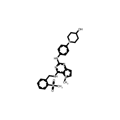 Cn1ccc2nc(Nc3ccc(N4CCC(O)CC4)cc3)nc(NCc3ccccc3S(C)(=O)=O)c21